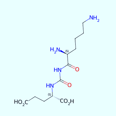 NCCCC[C@H](N)C(=O)NC(=O)N[C@@H](CCC(=O)O)C(=O)O